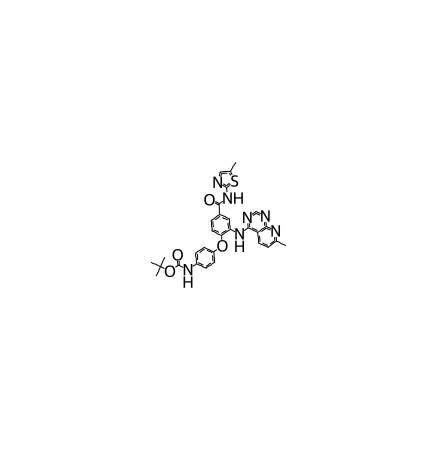 Cc1ccc2c(Nc3cc(C(=O)Nc4ncc(C)s4)ccc3Oc3ccc(NC(=O)OC(C)(C)C)cc3)ncnc2n1